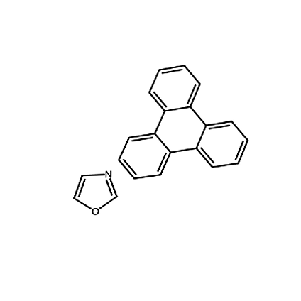 c1ccc2c(c1)c1ccccc1c1ccccc21.c1cocn1